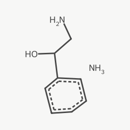 N.NCC(O)c1ccccc1